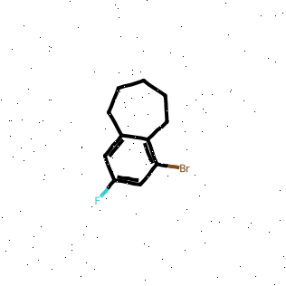 Fc1cc(Br)c2c(c1)CCCCC2